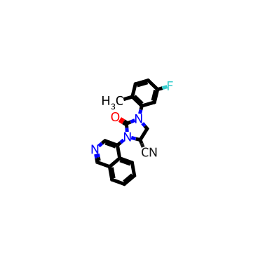 Cc1ccc(F)cc1N1CC(C#N)N(c2cncc3ccccc23)C1=O